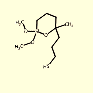 CO[Si]1(OC)CCCC(C)(CCCS)O1